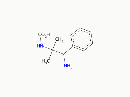 CC(C)(NC(=O)O)C(N)c1ccccc1